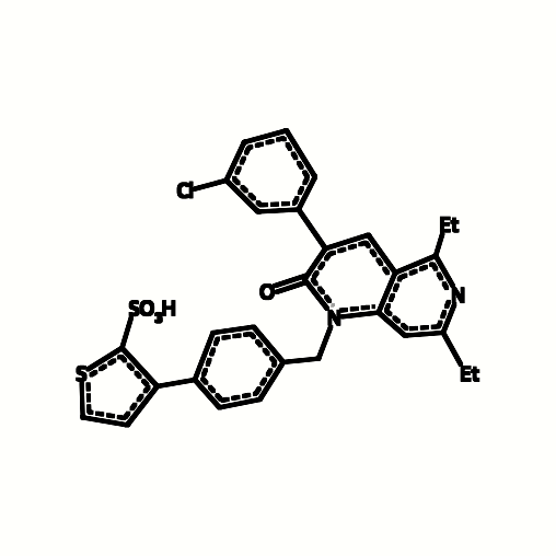 CCc1cc2c(cc(-c3cccc(Cl)c3)c(=O)n2Cc2ccc(-c3ccsc3S(=O)(=O)O)cc2)c(CC)n1